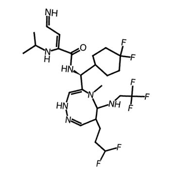 CC(C)N/C(=C\C=N)C(=O)N[C@H](/C1=C/N/N=C\C(CCC(F)F)C(NCC(F)(F)F)N1C)C1CCC(F)(F)CC1